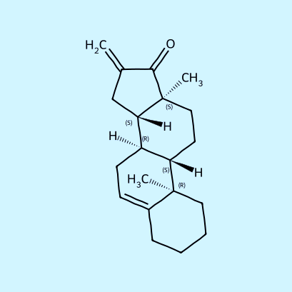 C=C1C[C@H]2[C@@H]3CC=C4CCCC[C@]4(C)[C@H]3CC[C@]2(C)C1=O